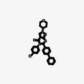 O=c1c2cn(C3CCOCC3)nc2nc(-c2ccc(-c3ccccc3)cc2)n1-c1ccc(Cl)cc1